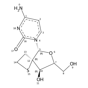 Nc1ccn([C@@H]2OC(CO)[C@@H](O)[C@]23CCS3)c(=O)n1